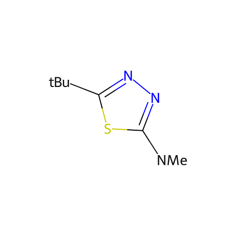 CNc1nnc(C(C)(C)C)s1